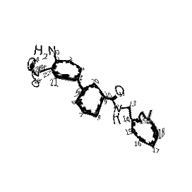 Nc1ccc(-c2cccc(C(=O)NCc3ccccn3)c2)cc1[N+](=O)[O-]